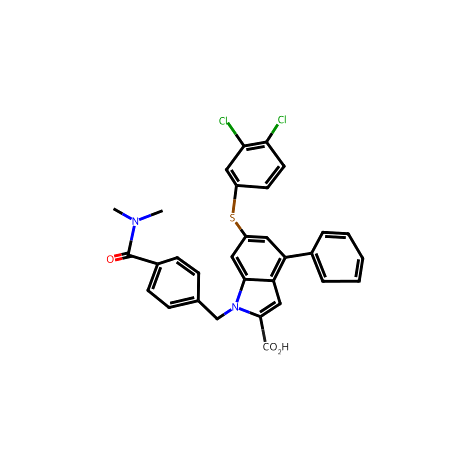 CN(C)C(=O)c1ccc(Cn2c(C(=O)O)cc3c(-c4ccccc4)cc(Sc4ccc(Cl)c(Cl)c4)cc32)cc1